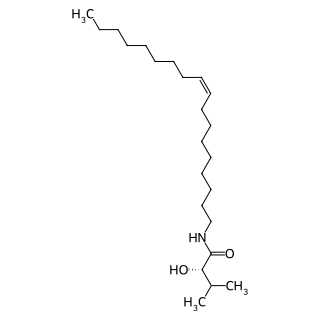 CCCCCCCC/C=C\CCCCCCCCNC(=O)[C@@H](O)C(C)C